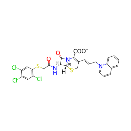 O=C(CSc1cc(Cl)c(Cl)cc1Cl)N[C@@H]1C(=O)N2C(C(=O)[O-])=C(C=CC[n+]3cccc4ccccc43)CS[C@H]12